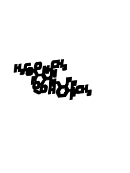 COC(=O)C(F)c1nc(C)nc(NCc2cccc(C(C)(F)F)c2F)c1C1OCCO1